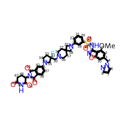 COc1cc(Cn2cccn2)cc2onc(NS(=O)(=O)c3cccc(N4CC5(CCN(CC6(F)CCN(c7ccc8c(c7)C(=O)N(C7CCC(=O)NC7=O)C8=O)C6)CC5)C4)c3)c12